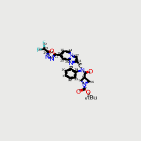 CC(C)(C)OC(=O)N1CC(C(=O)N(Cc2cn3ccc(-c4nnc(C(F)F)o4)cc3n2)c2ccccc2)C1